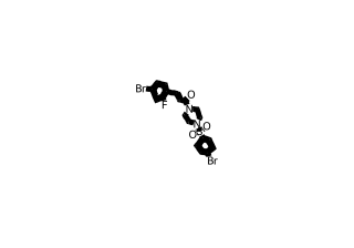 O=C(C=Cc1ccc(Br)cc1F)N1CCN(S(=O)(=O)c2ccc(Br)cc2)CC1